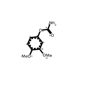 COc1ccc(OC(N)=O)cc1OC